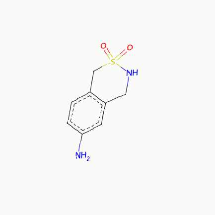 Nc1ccc2c(c1)CNS(=O)(=O)C2